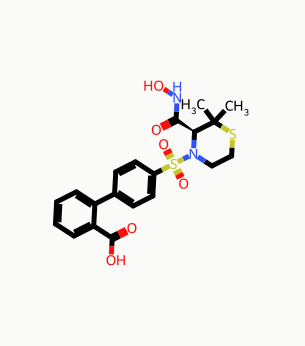 CC1(C)SCCN(S(=O)(=O)c2ccc(-c3ccccc3C(=O)O)cc2)[C@H]1C(=O)NO